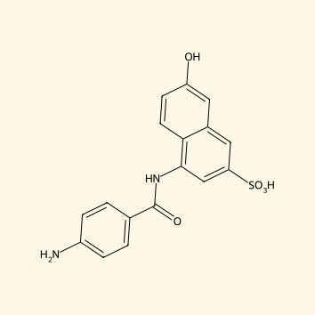 Nc1ccc(C(=O)Nc2cc(S(=O)(=O)O)cc3cc(O)ccc23)cc1